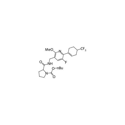 CCCCOC(=O)N1CCCC1C(=O)NCc1cc(F)c(C2=CCC(C(F)(F)F)CC2)nc1OC